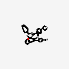 N#Cc1ccc2c3ccccc3n(-c3cc(-c4ccncc4)ccc3-c3nc(-c4ccccc4)nc(-c4ccccc4)n3)c2c1